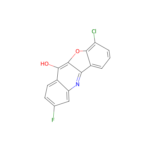 Oc1c2ccc(F)cc2nc2c1oc1c(Cl)cccc12